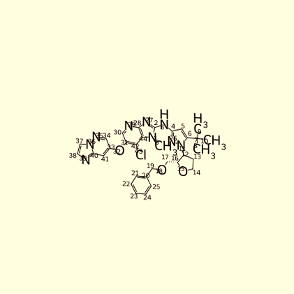 Cn1c(Nc2cc(C(C)(C)C)n([C@H]3CCO[C@@H]3COCc3ccccc3)n2)nc2ncc(Oc3cnn4ccnc4c3)c(Cl)c21